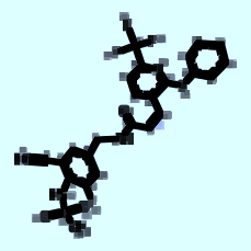 C#Cc1cc(CNC(=O)/C=C\c2ccc(C(F)(F)F)nc2Sc2ccccc2)cc(F)c1NS(C)(=O)=O